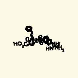 N=C(N)NC1Cc2ccc(S(=O)(=O)NC[C@@H]3C[C@@H](CC(=O)O)C(=O)N3CCCc3ccccc3)cc2C1